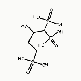 CC(CCP(=O)(O)O)C(P(=O)(O)O)P(=O)(O)O